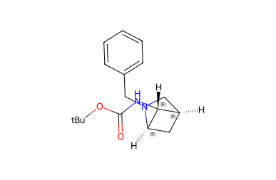 CC(C)(C)OC(=O)N[C@@H]1[C@@H]2C[C@H]1N(Cc1ccccc1)C2